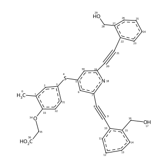 Cc1cc(Sc2cc(C#Cc3ccccc3CO)nc(C#Cc3ccccc3CO)c2)ccc1OCC(=O)O